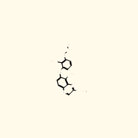 CCCSNc1cccc(Nc2ccc3ncc(OC)nc3c2C#N)c1C#N